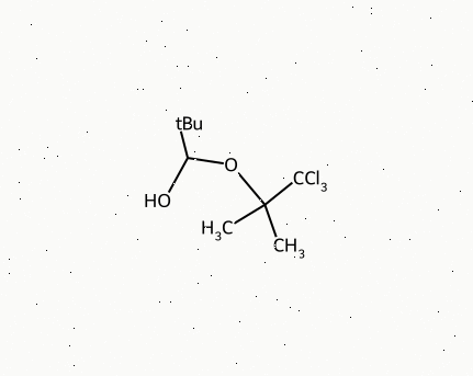 CC(C)(C)C(O)OC(C)(C)C(Cl)(Cl)Cl